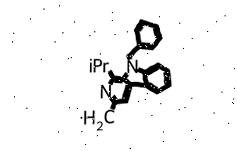 [CH2]c1cc2c3ccccc3n(Cc3ccccc3)c2c(C(C)C)n1